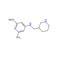 COc1cc(NCC2CCCNC2)cc(C)n1